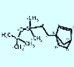 C[Si](C)(C)O[Si](C)(C)CCC12C=CC(CC1)C2